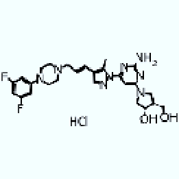 Cc1c(/C=C/CN2CCN(c3cc(F)cc(F)c3)CC2)cnn1-c1cc(N2C[C@@H](CO)[C@H](O)C2)nc(N)n1.Cl